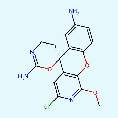 COc1nc(Cl)cc2c1Oc1ccc(N)cc1[C@@]21CCN=C(N)O1